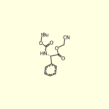 CC(C)(C)OC(=O)N[C@H](C(=O)OCC#N)c1ccccc1